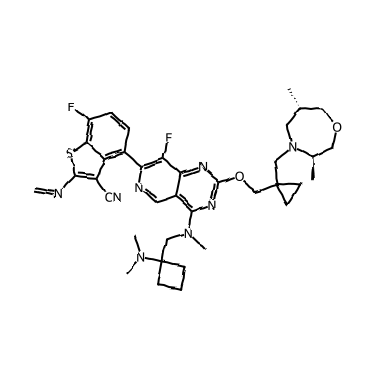 C=Nc1sc2c(F)ccc(-c3ncc4c(N(C)CC5(N(C)C)CCC5)nc(OCC5(CN6C[C@H](C)COC[C@H]6C)CC5)nc4c3F)c2c1C#N